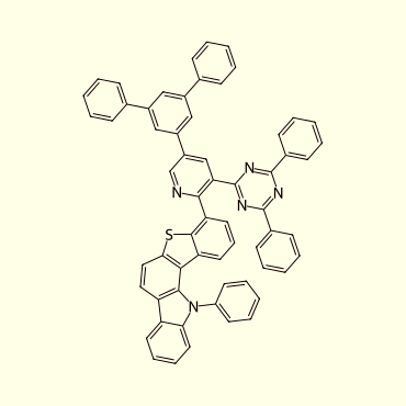 c1ccc(-c2cc(-c3ccccc3)cc(-c3cnc(-c4cccc5c4sc4ccc6c7ccccc7n(-c7ccccc7)c6c45)c(-c4nc(-c5ccccc5)nc(-c5ccccc5)n4)c3)c2)cc1